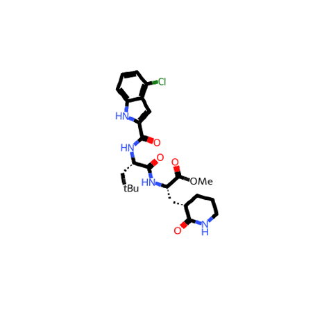 COC(=O)[C@H](C[C@@H]1CCCNC1=O)NC(=O)[C@H](CC(C)(C)C)NC(=O)c1cc2c(Cl)cccc2[nH]1